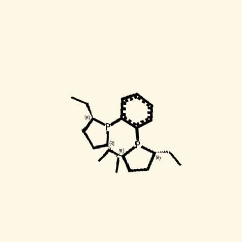 CC[C@@H]1CC[C@@H](CC)P1c1ccccc1P1[C@H](CC)CC[C@H]1CC